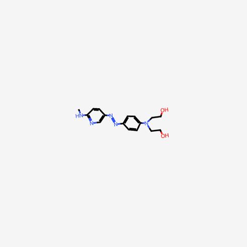 CNc1ccc(N=Nc2ccc(N(CCO)CCO)cc2)cn1